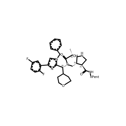 CCCCCNC(=O)[C@@H]1CNC[C@H]1CN(C(=O)[C@H](C)O)[C@@H](c1nc(-c2cc(F)ccc2F)cn1Cc1ccccc1)C1CCOCC1